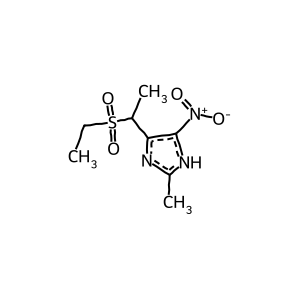 CCS(=O)(=O)C(C)c1nc(C)[nH]c1[N+](=O)[O-]